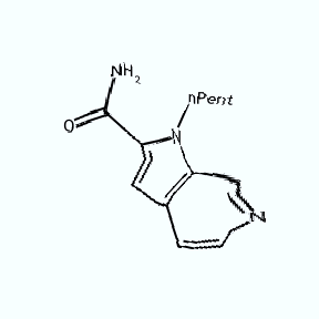 CCCCCn1c(C(N)=O)cc2ccncc21